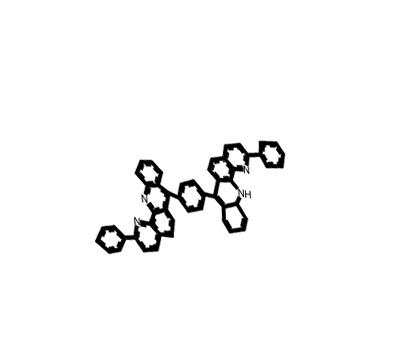 C1=CC2=C(c3ccc(-c4c5ccccc5nc5c4ccc4ccc(-c6ccccc6)nc45)cc3)c3ccc4ccc(-c5ccccc5)nc4c3NC2C=C1